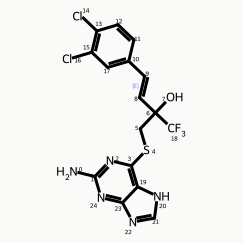 Nc1nc(SCC(O)(/C=C/c2ccc(Cl)c(Cl)c2)C(F)(F)F)c2[nH]cnc2n1